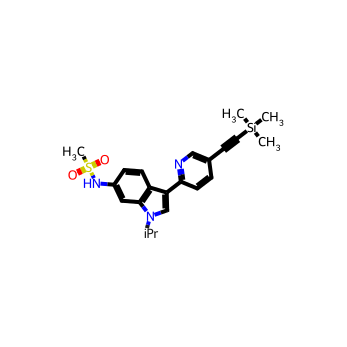 CC(C)n1cc(-c2ccc(C#C[Si](C)(C)C)cn2)c2ccc(NS(C)(=O)=O)cc21